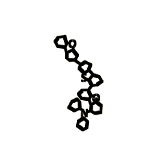 c1ccc(N(c2ccccc2)c2cccc3oc4c(-c5cccc6c5sc5cc(-c7ccc8c(c7)oc7ccccc78)ccc56)cccc4c23)cc1